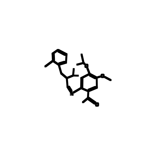 COc1cc(C(C)=O)c(/N=C\C(Cc2ccccc2C)C(C)C)cc1OC(C)C